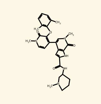 Cc1cccc(C)c1Oc1c(-c2cn(C)c(=O)c3[nH]c(C(=O)NC4CCCN(C)C4)cc23)ccn(C)c1=O